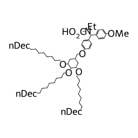 CCCCCCCCCCCCCCCCCCOC1CC(COc2ccc(C(c3ccc(OC)cc3)N(CC)C(=O)O)cc2)CC(OCCCCCCCCCCCCCCCCCC)C1OCCCCCCCCCCCCCCCCCC